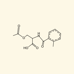 CC(=O)OCC(NC(=O)c1ccccc1C)C(=O)O